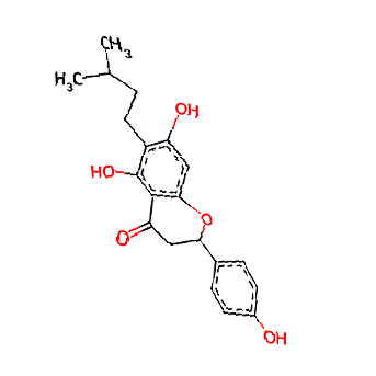 CC(C)CCc1c(O)cc2c(c1O)C(=O)CC(c1ccc(O)cc1)O2